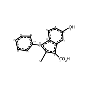 Cc1c(C(=O)O)c2cc(O)ccc2n1-c1ccccc1